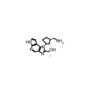 C[C@@H](O)c1nc2cnc3[nH]ccc3c2n1[C@H]1CC[C@@H](CN)C1